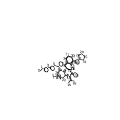 CCOCOCCOc1cc(C(=O)N(C(C)C)[C@@H]2CCCNC2)nc2c(OC3CCCC3)cccc12